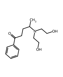 CC(CCC(=O)c1ccccc1)N(CCO)CCO